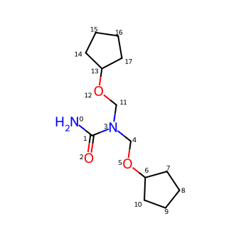 NC(=O)N(COC1CCCC1)COC1CCCC1